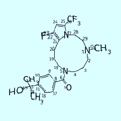 CN1CCCN(C(=O)c2ccc(C(C)(C)O)cc2)CCCc2c(F)cc(C(F)(F)F)n2CC1